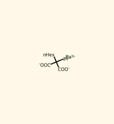 CCCCCCC(C(=O)[O-])(C(=O)[O-])C(C)C.[Ba+2]